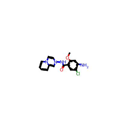 COc1cc(N)c(Cl)cc1C(=O)NN1C=CN2C=CC=CC2=C1